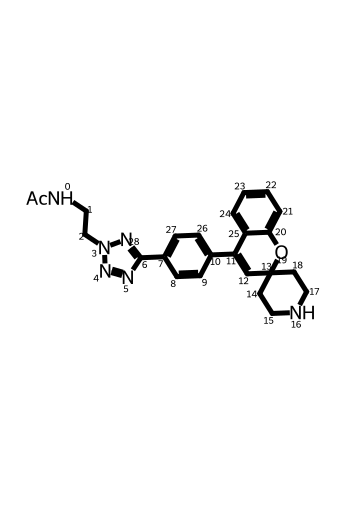 CC(=O)NCCn1nnc(-c2ccc(C3=CC4(CCNCC4)Oc4ccccc43)cc2)n1